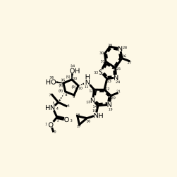 COC(=O)NC(C)(C)[C@H]1C[C@@H](Nc2nc(NC3CC3)nc(C)c2-c2nc3c(C)nccc3s2)[C@H](O)[C@@H]1O